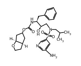 CC(C)CN(C[C@@H](O)[C@H](Cc1ccccc1)NC(=O)O[C@H]1C[C@H]2CCO[C@H]2C1)S(=O)(=O)c1cncc(N)c1